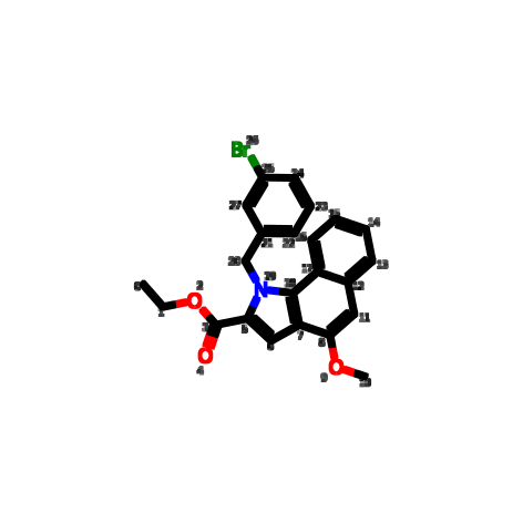 CCOC(=O)c1cc2c(OC)cc3ccccc3c2n1Cc1cccc(Br)c1